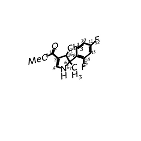 COC(=O)C1=CNC(C)(c2ccc(F)cc2F)C1C